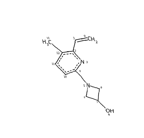 C=Cc1nc(N2CC(O)C2)ccc1C